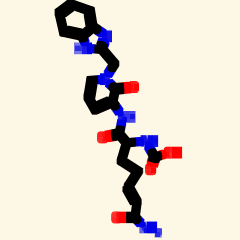 NC(=O)C=CCCC(NC(=O)O)C(=O)Nc1cccn(Cc2nc3ccccc3[nH]2)c1=O